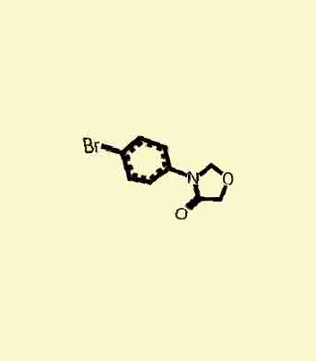 O=C1COCN1c1ccc(Br)cc1